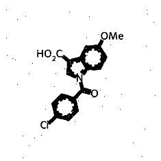 COc1ccc2c(c1)c(C(=O)O)cn2C(=O)c1ccc(Cl)cc1